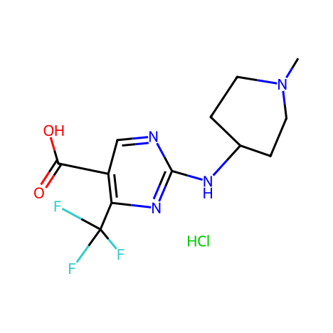 CN1CCC(Nc2ncc(C(=O)O)c(C(F)(F)F)n2)CC1.Cl